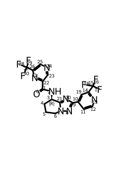 O=C(N[C@@H]1CCCn2nc(-c3ccnc(C(F)(F)F)c3)nc21)c1cncc(C(F)(F)F)n1